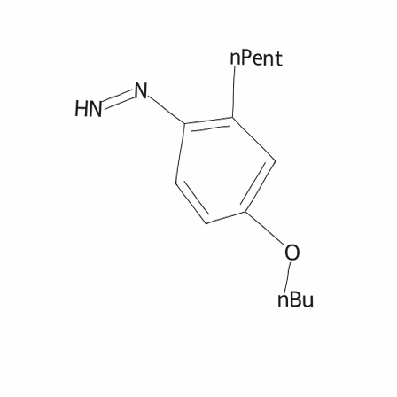 CCCCCc1cc(OCCCC)ccc1N=N